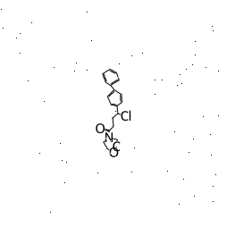 O=C(CCC(Cl)c1ccc(-c2ccccc2)cc1)N1CCOCC1